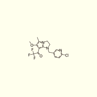 COc1c(C(=O)C(F)(F)F)c2n(c1C)CCN2Cc1ccc(Cl)nc1